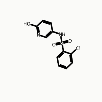 O=S(=O)(Nc1ccc(O)nc1)c1ccccc1Cl